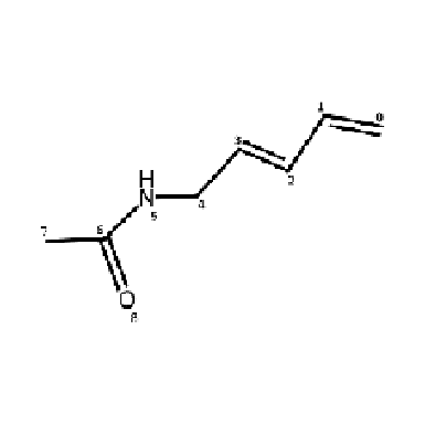 C=C/C=C/CNC(C)=O